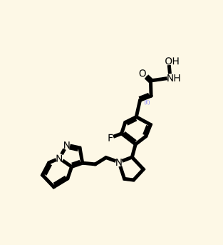 O=C(/C=C/c1ccc(C2CCCN2CCc2cnn3ccccc23)c(F)c1)NO